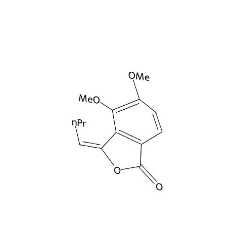 CCC/C=C1/OC(=O)c2ccc(OC)c(OC)c21